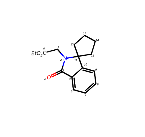 CCOC(=O)CN1C(=O)c2ccccc2C12CCCC2